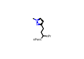 CCCCCC(CCC)CCc1ccn(C)n1